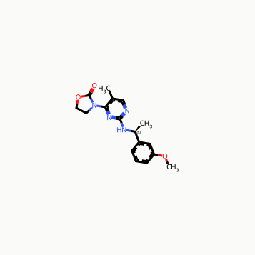 COc1cccc([C@H](C)Nc2ncc(C)c(N3CCOC3=O)n2)c1